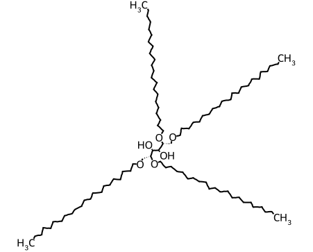 CCCCCCCCCCCCCCCCCCCCCCOC[C@@H](OCCCCCCCCCCCCCCCCCCCCCC)[C@@H](O)[C@H](O)[C@@H](COCCCCCCCCCCCCCCCCCCCCCC)OCCCCCCCCCCCCCCCCCCCCCC